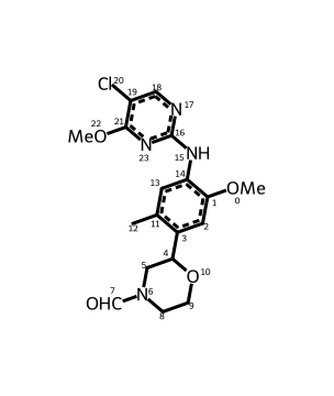 COc1cc(C2CN(C=O)CCO2)c(C)cc1Nc1ncc(Cl)c(OC)n1